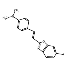 CN(C)c1ccc(/C=C/c2nc3ccc(F)cc3o2)cc1